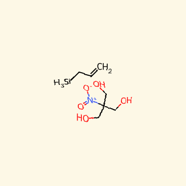 C=CC[SiH3].O=[N+]([O-])C(CO)(CO)CO